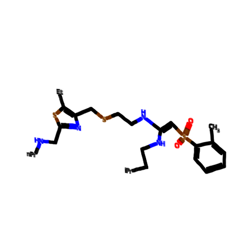 CCCNCc1nc(CSCCNC(=CS(=O)(=O)c2ccccc2C)NCCC(C)C)c(CC)s1